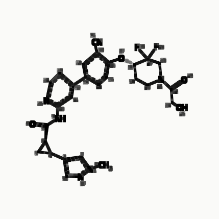 Cn1cc(C2C[C@H]2C(=O)Nc2cc(-c3ccc(O[C@H]4CCN(C(=O)CO)CC4(F)F)c(C#N)c3)ccn2)cn1